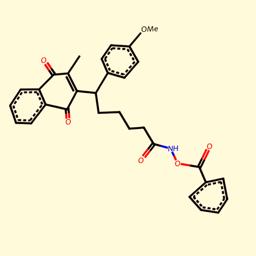 COc1ccc(C(CCCCC(=O)NOC(=O)c2ccccc2)C2=C(C)C(=O)c3ccccc3C2=O)cc1